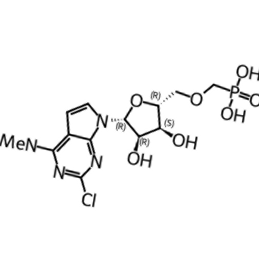 CNc1nc(Cl)nc2c1ccn2[C@@H]1O[C@H](COCP(=O)(O)O)[C@@H](O)[C@H]1O